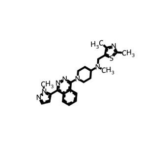 Cc1nc(C)c(CN(C)C2CCN(c3nnc(-c4ccnn4C)c4ccccc34)CC2)s1